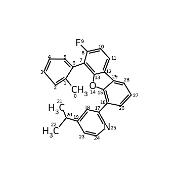 Cc1ccccc1-c1c(F)ccc2c1oc1c(-c3cc(C(C)C)ccn3)cccc12